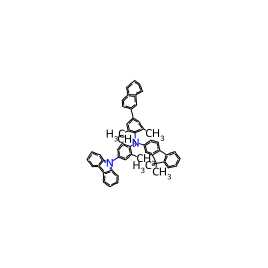 Cc1cc(-c2ccc3ccccc3c2)cc(C)c1N(c1ccc2c(c1)C(C)(C)c1ccccc1-2)c1c(C)cc(-n2c3ccccc3c3ccccc32)cc1C